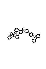 c1ccc(-n2c3oc4ccccc4c3c3cccc(-c4ccc5oc6ccc(-c7ccc(-n8c9ccccc9c9ccccc98)cc7)cc6c5c4)c32)cc1